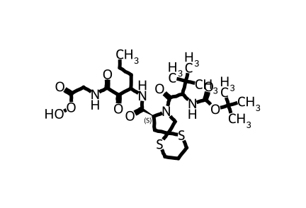 CCCC(NC(=O)[C@@H]1CC2(CN1C(=O)C(NC(=O)OC(C)(C)C)C(C)(C)C)SCCCS2)C(=O)C(=O)NCC(=O)OO